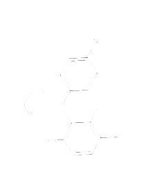 C=CC.Cc1ccc(C(=O)O)c(Oc2ccc([N+](=O)[O-])cc2)c1C(=O)O